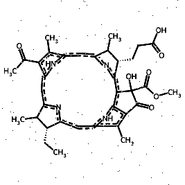 CC[C@H]1c2cc3[nH]c4c(c3C)C(=O)C(O)(C(=O)OC)c4c3nc(cc4[nH]c(cc(n2)C1C)c(C(C)=O)c4C)C(C)[C@@H]3CCC(=O)O